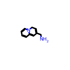 NCC1=CCN2C=CC=CC2=C1